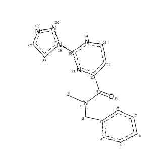 CN(Cc1ccccc1)C(=O)c1ccnc(-n2ccnn2)n1